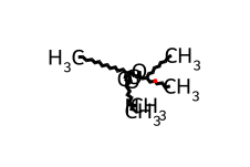 CCCCCCCCCCCCC(COC(=O)CC(CCCCCC)CCCCCCCC)OC(=O)CCCCCN(C)C